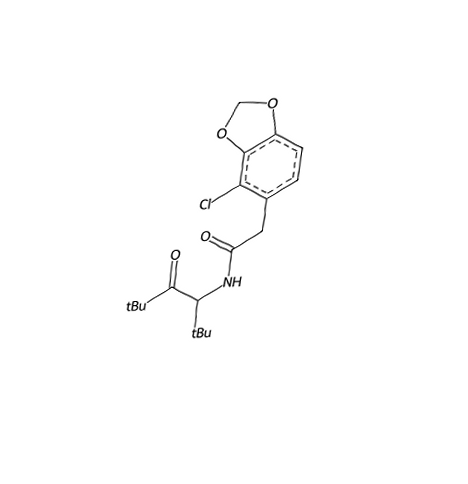 CC(C)(C)C(=O)C(NC(=O)Cc1ccc2c(c1Cl)OCO2)C(C)(C)C